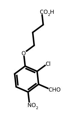 O=Cc1c([N+](=O)[O-])ccc(OCCCC(=O)O)c1Cl